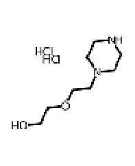 Cl.Cl.OCCOCCN1CCNCC1